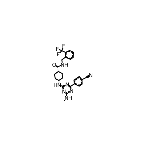 CNc1nc(N[C@H]2CC[C@@H](C(=O)NCc3ccccc3C(F)(F)F)CC2)nc(-c2ccc(C#N)cc2)n1